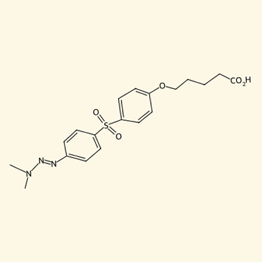 CN(C)N=Nc1ccc(S(=O)(=O)c2ccc(OCCCCC(=O)O)cc2)cc1